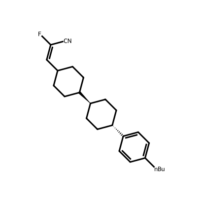 CCCCc1ccc([C@H]2CC[C@H](C3CCC(/C=C(/F)C#N)CC3)CC2)cc1